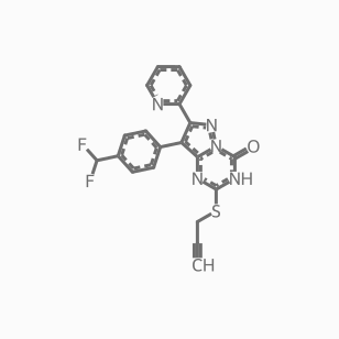 C#CCSc1nc2c(-c3ccc(C(F)F)cc3)c(-c3ccccn3)nn2c(=O)[nH]1